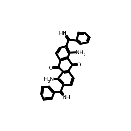 N=C(c1ccccc1)c1ccc2c(c1N)C(=O)c1ccc(C(=N)c3ccccc3)c(N)c1C2=O